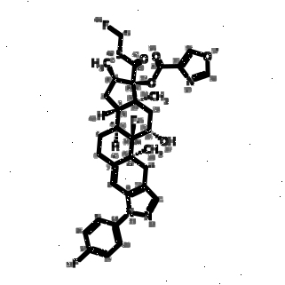 C[C@@H]1C[C@H]2[C@@H]3CCC4=Cc5c(cnn5-c5ccc(F)cc5)C[C@]4(C)[C@@]3(F)[C@@H](O)C[C@]2(C)[C@@]1(OC(=O)c1cocn1)C(=O)SCF